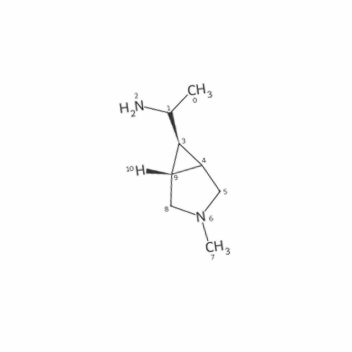 CC(N)[C@H]1C2CN(C)C[C@@H]21